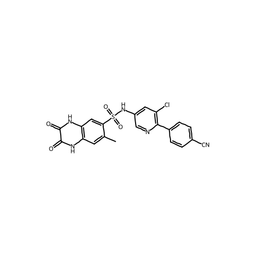 Cc1cc2[nH]c(=O)c(=O)[nH]c2cc1S(=O)(=O)Nc1cnc(-c2ccc(C#N)cc2)c(Cl)c1